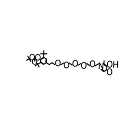 Cc1c(O)c(=O)ccn1CCOCCOCCOCCOCCOCCCc1cc(C(C)(C)C)c(OC(=O)OC(C)(C)C)c(C(C)(C)C)c1